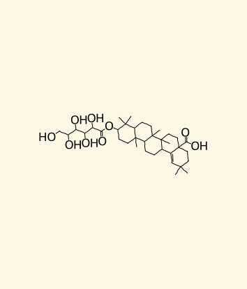 CC1(C)C=C2C3CCC4C5(C)CCC(OC(=O)C(O)C(O)C(O)C(O)CO)C(C)(C)C5CCC4(C)C3(C)CCC2(C(=O)O)CC1